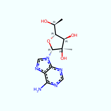 C[C@H](O)[C@H]1O[C@@H](n2cnc3c(N)ncnc32)[C@](C)(O)[C@@H]1O